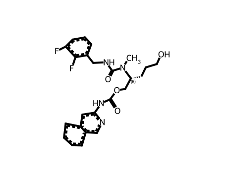 CN(C(=O)NCc1cccc(F)c1F)[C@H](CCCO)COC(=O)Nc1cc2ccccc2cn1